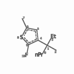 CCCC(C)(CC)c1cc(C)sc1F